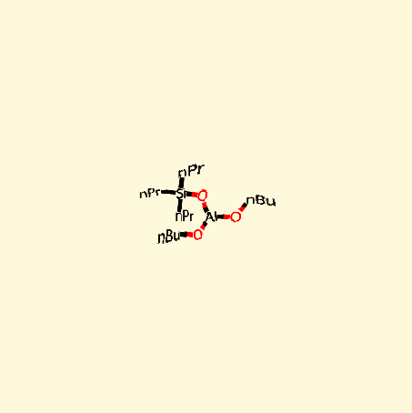 CCCC[O][Al]([O]CCCC)[O][Si](CCC)(CCC)CCC